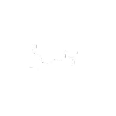 CBPCCCC(C)CCC